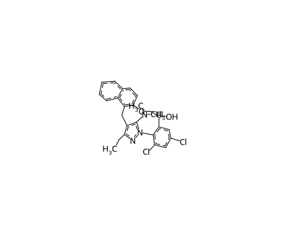 CCc1nn(-c2c(Cl)cc(Cl)cc2Cl)c(N(C)C)c1Cc1c(OCCO)ccc2ccccc12